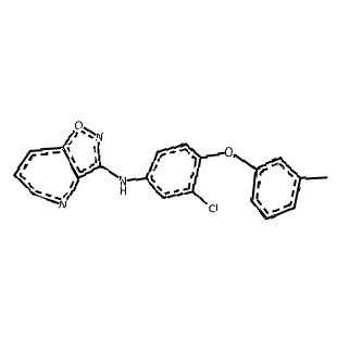 Cc1cccc(Oc2ccc(Nc3noc4cccnc34)cc2Cl)c1